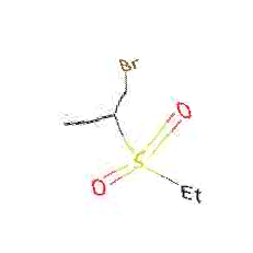 [CH2]CS(=O)(=O)C(C)Br